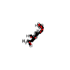 CC1(C)CCC(CN2CCN(c3ccc(C(=O)NS(=O)(=O)c4ccc(NCC5CCC(N6CCN(Cc7ccc8c(c7)C(=O)N(C7CCC(=O)NC7=O)C8=O)CC6)CC5)c([N+](=O)[O-])c4)c(Oc4cnc5[nH]ccc5c4)c3)CC2)=C(c2ccc(Cl)cc2)C1